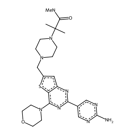 CNC(=O)C(C)(C)N1CCN(Cc2cc3nc(-c4cnc(N)nc4)nc(N4CCOCC4)c3s2)CC1